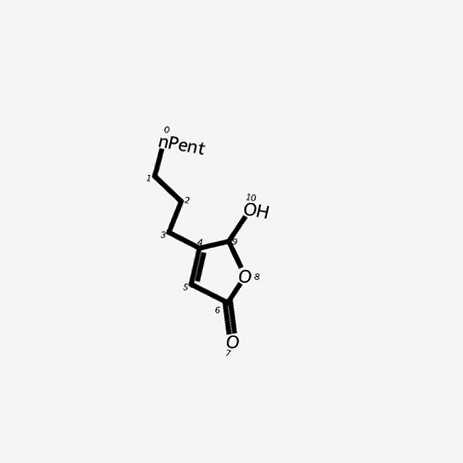 CCCCCCCCC1=CC(=O)OC1O